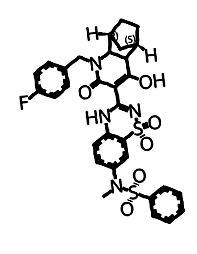 CN(c1ccc2c(c1)S(=O)(=O)N=C(C1=C(O)C3C([C@@H]4CC[C@H]3C4)N(Cc3ccc(F)cc3)C1=O)N2)S(=O)(=O)c1ccccc1